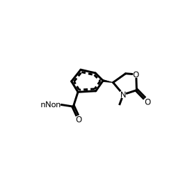 CCCCCCCCCC(=O)c1cccc([C@H]2COC(=O)N2C)c1